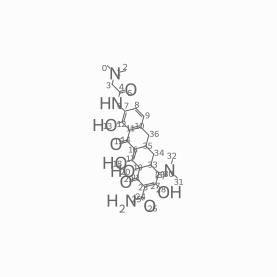 CN(C)CC(=O)Nc1ccc2c(c1O)C(=O)C1=C(O)C3(O)C(=O)C(C(N)=O)=C(O)[C@@H](N(C)C)C3CC1C2